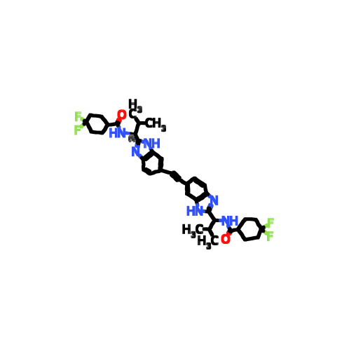 CC(C)C(NC(=O)C1CCC(F)(F)CC1)c1nc2ccc(C#Cc3ccc4nc([C@@H](NC(=O)C5CCC(F)(F)CC5)C(C)C)[nH]c4c3)cc2[nH]1